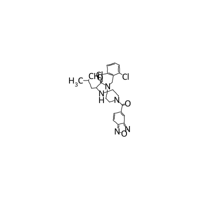 CC(C)CC1NC2(CCN(C(=O)c3ccc4nonc4c3)CC2)N(Cc2c(Cl)cccc2Cl)C1=O